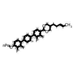 C/C=C/CCC1COC(c2ccc(-c3ccc(-c4ccc(OCCC)c(F)c4F)cc3)c(F)c2F)OC1